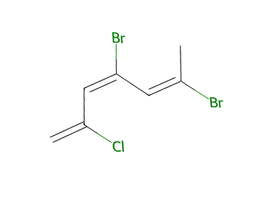 C=C(Cl)/C=C(Br)\C=C(/C)Br